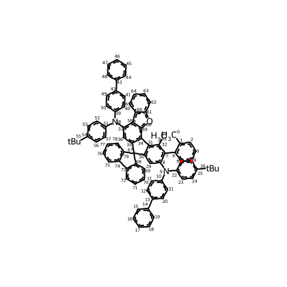 Cc1ccccc1-c1c(N(c2ccc(-c3ccccc3)cc2)c2ccc(C(C)(C)C)cc2)cc2c(c1C)-c1c(cc(N(c3ccc(-c4ccccc4)cc3)c3ccc(C(C)(C)C)cc3)c3c1oc1ccccc13)C21c2ccccc2-c2ccccc21